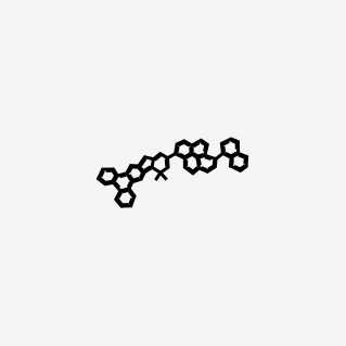 CC1(C)C=C(c2ccc3ccc4c(-c5cccc6ccccc56)ccc5ccc2c3c54)C=C2C=c3cc4c5ccccc5c5ccccc5c4cc3=C21